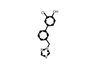 Oc1ccc(-c2cccc(Cn3cncn3)c2)cc1Cl